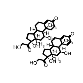 C[C@]12C=CC(=O)C=C1CC[C@@H]1[C@@H]2[C@@H](O)C[C@@]2(C)[C@H]1CC[C@]2(O)C(=O)CO.C[C@]12CCC(=O)C=C1CC[C@@H]1[C@@H]2[C@@H](O)C[C@@]2(C)[C@H]1CC[C@]2(O)C(=O)CO